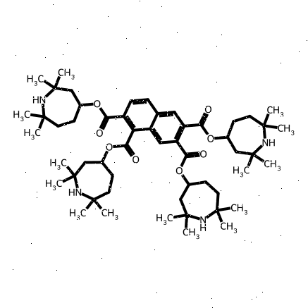 CC1(C)CCC(OC(=O)c2cc3ccc(C(=O)OC4CCC(C)(C)NC(C)(C)C4)c(C(=O)OC4CCC(C)(C)NC(C)(C)C4)c3cc2C(=O)OC2CCC(C)(C)NC(C)(C)C2)CC(C)(C)N1